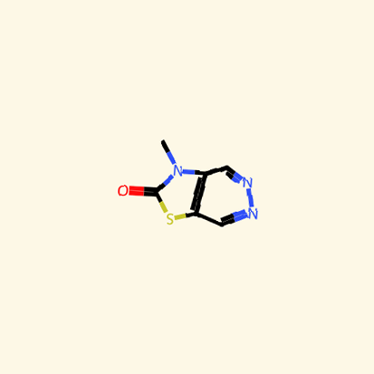 Cn1c(=O)sc2cnncc21